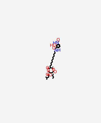 CCCC[C@H]1C(=O)O[C@H](C)C(CCCCCCCCCCCNC(=O)c2cccc(NC=O)c2O)C(=O)O[C@@H](C)[C@@H]1OC(=O)CC(C)C